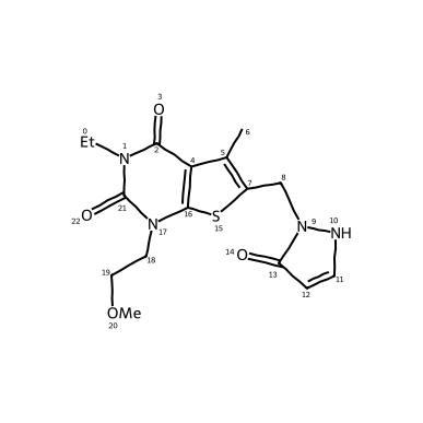 CCn1c(=O)c2c(C)c(Cn3[nH]ccc3=O)sc2n(CCOC)c1=O